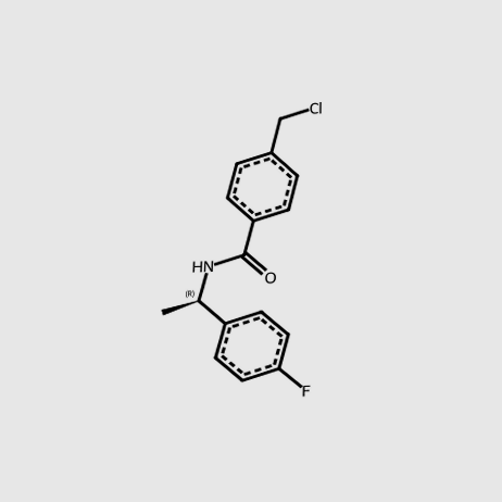 C[C@@H](NC(=O)c1ccc(CCl)cc1)c1ccc(F)cc1